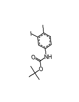 Cc1ccc(NC(=O)OC(C)(C)C)cc1I